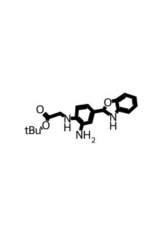 CC(C)(C)OC(=O)CNc1ccc(C2Nc3ccccc3O2)cc1N